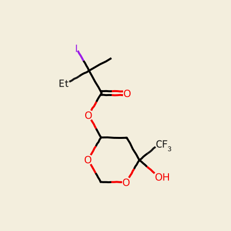 CCC(C)(I)C(=O)OC1CC(O)(C(F)(F)F)OCO1